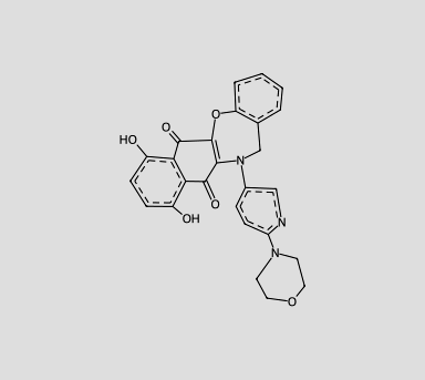 O=C1C2=C(C(=O)c3c(O)ccc(O)c31)N(c1ccc(N3CCOCC3)nc1)Cc1ccccc1O2